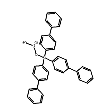 OB(O)O[Si](c1ccc(-c2ccccc2)cc1)(c1ccc(-c2ccccc2)cc1)c1ccc(-c2ccccc2)cc1